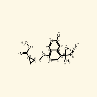 COC(=O)[C@@H]1C[C@H]1COc1ncc(C(C)(C)N=[N+]=[N-])c2cc(Cl)ncc12